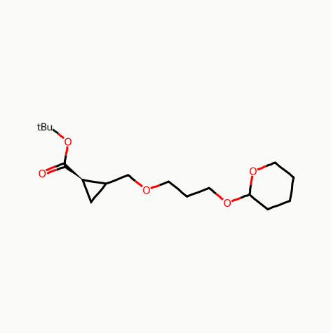 CC(C)(C)OC(=O)[C@@H]1CC1COCCCOC1CCCCO1